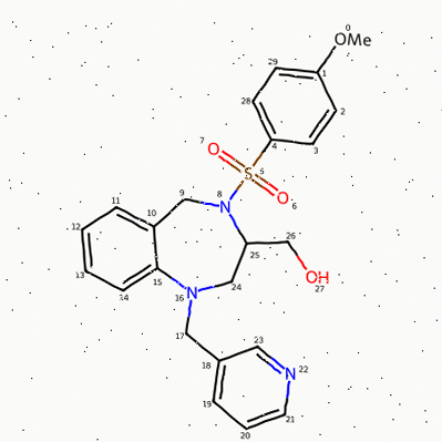 COc1ccc(S(=O)(=O)N2Cc3ccccc3N(Cc3cccnc3)CC2CO)cc1